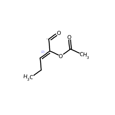 CC/C=C(/[C]=O)OC(C)=O